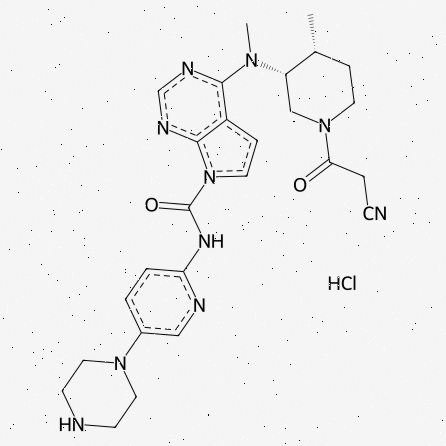 C[C@@H]1CCN(C(=O)CC#N)C[C@@H]1N(C)c1ncnc2c1ccn2C(=O)Nc1ccc(N2CCNCC2)cn1.Cl